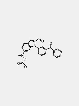 CN(O[SH](=O)=O)c1ccc2cc([C]=O)n(-c3cccc(C(=O)c4ccccc4)c3)c2c1